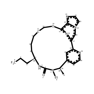 CCN1C(=O)N[C@@H](CCC(F)(F)F)CCCCCOc2nc(cn3ccnc23)-c2cc(ccn2)[C@H]1C